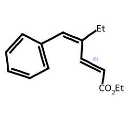 CCOC(=O)/C=C/C(=Cc1ccccc1)CC